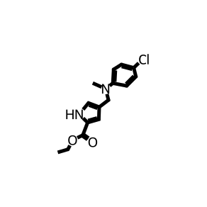 CCOC(=O)c1cc(CN(C)c2ccc(Cl)cc2)c[nH]1